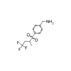 CC(CC(F)(F)F)S(=O)(=O)c1ccc(CN)cc1